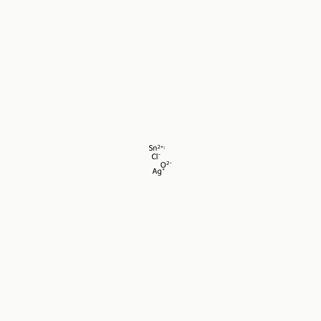 [Ag+].[Cl-].[O-2].[Sn+2]